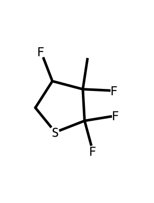 CC1(F)C(F)CSC1(F)F